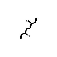 C=CC(Cl)=CCC(Cl)C=C